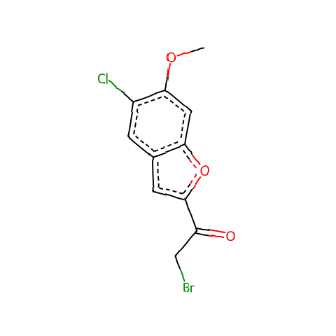 COc1cc2oc(C(=O)CBr)cc2cc1Cl